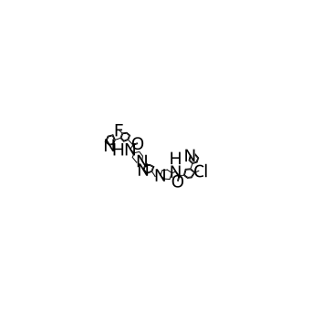 O=C(NC1CCN(Cc2ccc(N3CCC(NC(=O)c4ccc(F)c(-c5cccnc5)c4)CC3)nc2)CC1)c1ccc(Cl)c(-c2cccnc2)c1